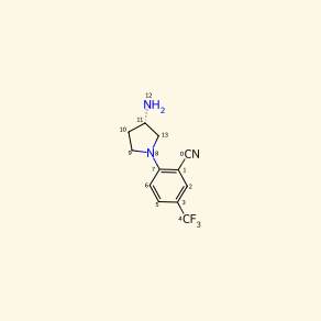 N#Cc1cc(C(F)(F)F)ccc1N1CC[C@H](N)C1